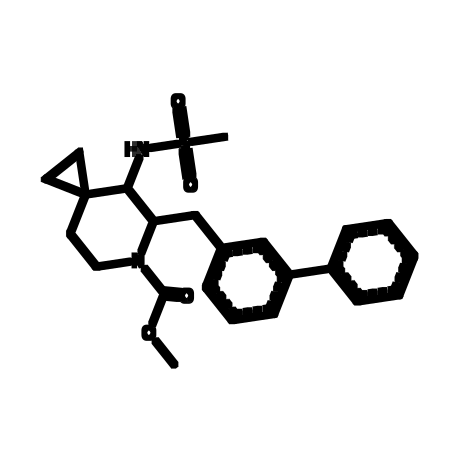 COC(=O)N1CCC2(CC2)C(NS(C)(=O)=O)C1Cc1cccc(-c2ccccc2)c1